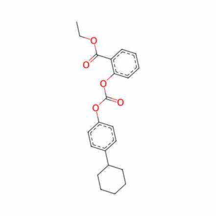 CCOC(=O)c1ccccc1OC(=O)Oc1ccc(C2CCCCC2)cc1